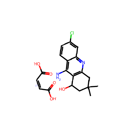 CC1(C)Cc2nc3cc(Cl)ccc3c(N)c2C(O)C1.O=C(O)/C=C\C(=O)O